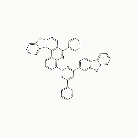 c1ccc(-c2cc(-c3ccc4c(c3)oc3ccccc34)nc(-c3cccc4c3nc(-c3ccccc3)c3ccc5oc6ccccc6c5c34)n2)cc1